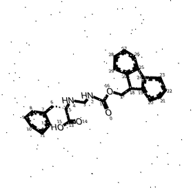 O=C(NCN[C@@H](Cc1ccccc1)C(=O)O)OCC1c2ccccc2-c2ccccc21